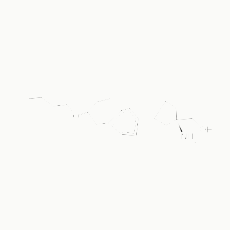 CCCCCOC1CCc2cc([C@@H]3CC[C@](N)(CO)C3)ccc2C1